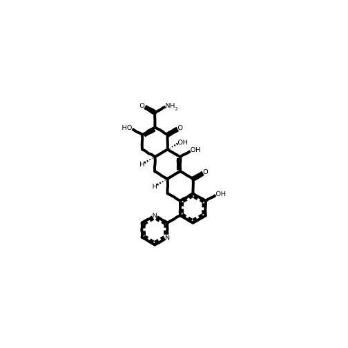 NC(=O)C1=C(O)C[C@@H]2C[C@@H]3Cc4c(-c5ncccn5)ccc(O)c4C(=O)C3=C(O)[C@]2(O)C1=O